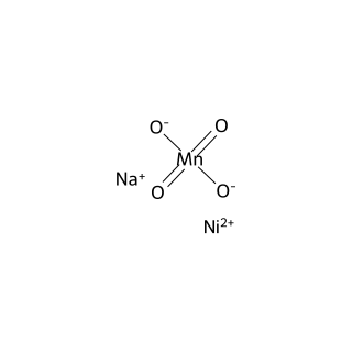 [Na+].[Ni+2].[O]=[Mn](=[O])([O-])[O-]